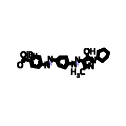 Cc1nn(C2CCCCC2)c(O)c1/N=N/c1ccc(/N=N/c2ccc(C(=O)OCC(C)C)cc2)cc1